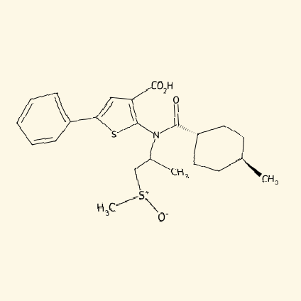 CC(C[S+](C)[O-])N(c1sc(-c2ccccc2)cc1C(=O)O)C(=O)[C@H]1CC[C@H](C)CC1